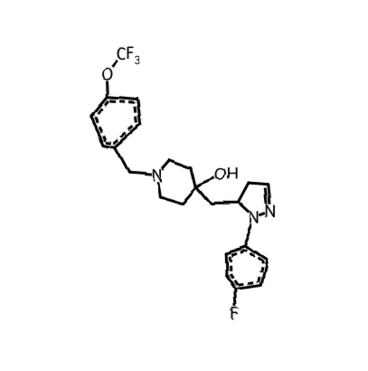 OC1(CC2CC=NN2c2ccc(F)cc2)CCN(Cc2ccc(OC(F)(F)F)cc2)CC1